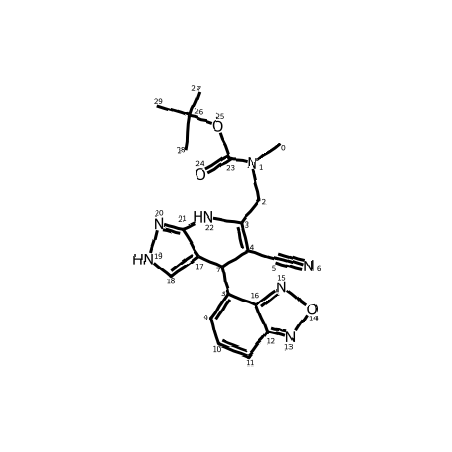 CN(CC1=C(C#N)C(c2cccc3nonc23)c2c[nH]nc2N1)C(=O)OC(C)(C)C